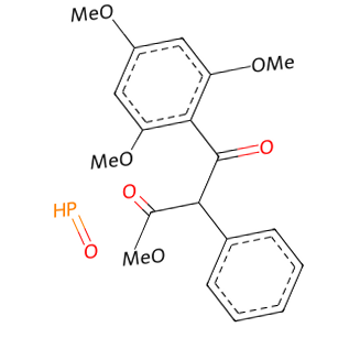 COC(=O)C(C(=O)c1c(OC)cc(OC)cc1OC)c1ccccc1.O=P